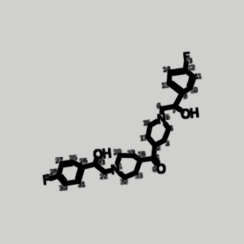 O=C(C1CCN(CC(O)c2ccc(F)cc2)CC1)C1CCN(CC(O)c2ccc(F)cc2)CC1